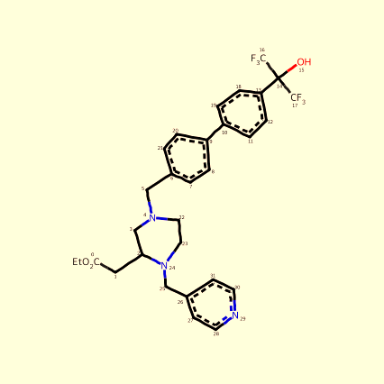 CCOC(=O)CC1CN(Cc2ccc(-c3ccc(C(O)(C(F)(F)F)C(F)(F)F)cc3)cc2)CCN1Cc1ccncc1